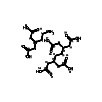 NCCN(CC(=O)O)CC(=O)O.O=C(O)CN(CCN(CC(=O)O)CC(=O)O)CC(=O)O